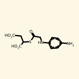 Nc1ccc(NCC(=O)SC(CC(=O)O)C(=O)O)cc1